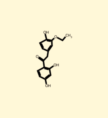 CCOc1cc(CC(=O)c2ccc(O)cc2O)ccc1O